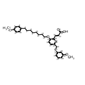 COc1ccc(CCCCCCCCOc2ccc(CSc3cccc(OC)c3)nc2C=CC(=O)O)cc1